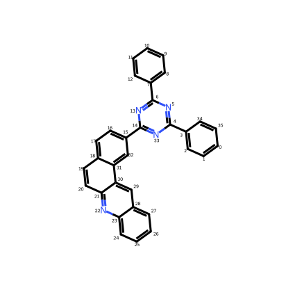 c1ccc(-c2nc(-c3ccccc3)nc(-c3ccc4ccc5nc6ccccc6cc5c4c3)n2)cc1